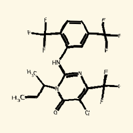 CCC(C)n1c(Nc2cc(C(F)(F)F)ccc2C(F)(F)F)nc(C(F)(F)F)c(Cl)c1=O